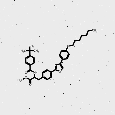 CCCCCCCOc1ccc(-c2coc(-c3ccc(CC(NC(=O)c4ccc(C(C)(C)C)cc4)C(=O)OC)cc3)n2)cc1